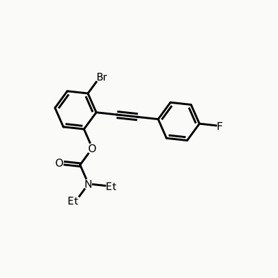 CCN(CC)C(=O)Oc1cccc(Br)c1C#Cc1ccc(F)cc1